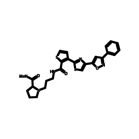 CNC(=O)C1CCCN1CCCNC(=O)c1sccc1-c1nc(-c2cc(-c3ccccc3)no2)cs1